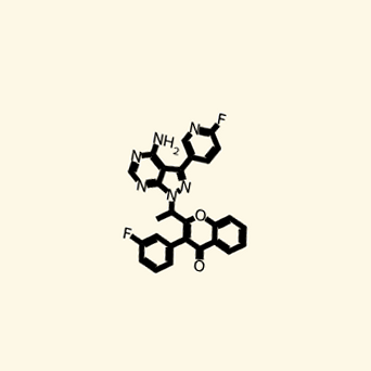 CC(c1oc2ccccc2c(=O)c1-c1cccc(F)c1)n1nc(-c2ccc(F)nc2)c2c(N)ncnc21